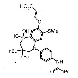 CCCCC1(CCCC)CN(c2ccc(NC(=O)C(C)C)cc2)c2cc(SC)c(OC=CC(=O)O)cc2S(O)(O)C1